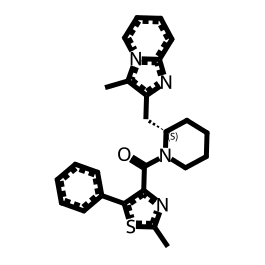 Cc1nc(C(=O)N2CCCC[C@H]2Cc2nc3ccccn3c2C)c(-c2ccccc2)s1